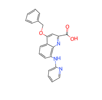 O=C(O)c1cc(OCc2ccccc2)c2cccc(Nc3ccccn3)c2n1